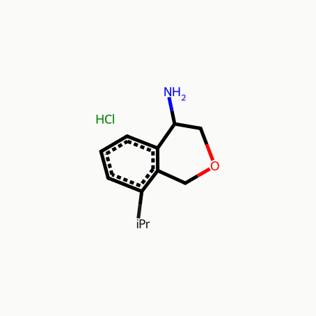 CC(C)c1cccc2c1COCC2N.Cl